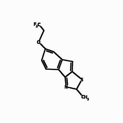 CC1N=C2C(=Cc3cc(OCC(F)(F)F)ccc32)S1